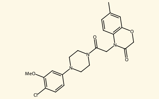 COc1cc(N2CCN(C(=O)CN3C(=O)COc4cc(C)ccc43)CC2)ccc1Cl